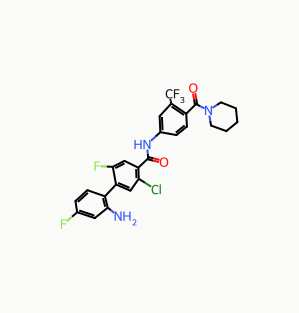 Nc1cc(F)ccc1-c1cc(Cl)c(C(=O)Nc2ccc(C(=O)N3CCCCC3)c(C(F)(F)F)c2)cc1F